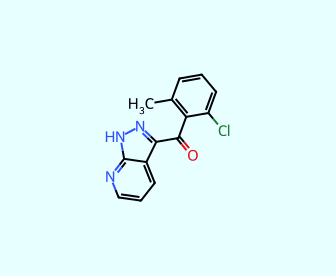 Cc1cccc(Cl)c1C(=O)c1n[nH]c2ncccc12